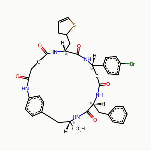 O=C1CCC(=O)N[C@H](CC2CC=CS2)C(=O)N[C@H](c2ccc(Br)cc2)CC(=O)N[C@H](Cc2ccccc2)C(=O)N[C@H](C(=O)O)Cc2ccc(cc2)N1